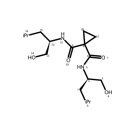 CC(C)C[C@H](CO)NC(=O)C1(C(=O)N[C@@H](CO)CC(C)C)CC1